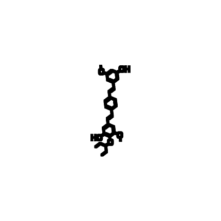 CCC(CC)Oc1c(O)cc(/C=C/c2ccc(/C=C/c3cc(O)cc(OC)c3)cc2)cc1OC